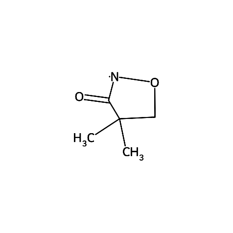 CC1(C)CO[N]C1=O